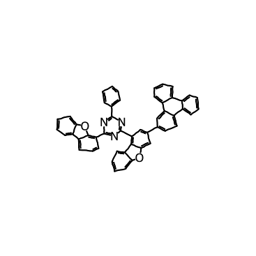 c1ccc(-c2nc(-c3cccc4c3oc3ccccc34)nc(-c3cc(-c4ccc5c6ccccc6c6ccccc6c5c4)cc4oc5ccccc5c34)n2)cc1